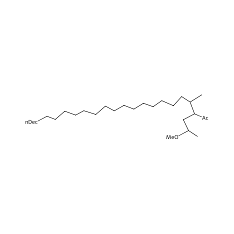 CCCCCCCCCCCCCCCCCCCCCCCCCC(C)C(CC(C)OC)C(C)=O